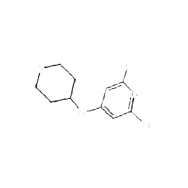 Clc1cc(OC2CCSCC2)cc(Cl)n1